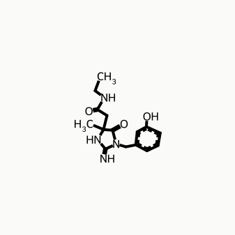 CCNC(=O)CC1(C)NC(=N)N(Cc2cccc(O)c2)C1=O